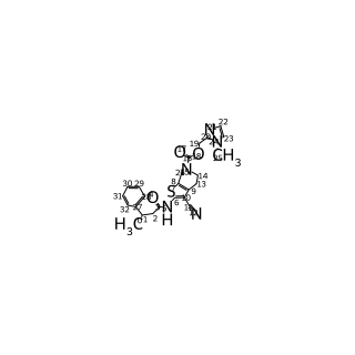 CC(CC(=O)Nc1sc2c(c1C#N)CCN(C(=O)OCc1nccn1C)C2)c1ccccc1